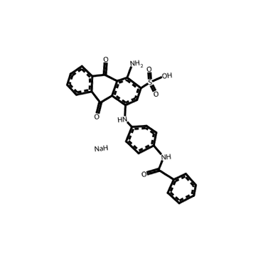 Nc1c(S(=O)(=O)O)cc(Nc2ccc(NC(=O)c3ccccc3)cc2)c2c1C(=O)c1ccccc1C2=O.[NaH]